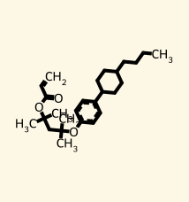 C=CC(=O)OC(C)(C)CC(C)(C)Oc1ccc(C2CCC(CCCC)CC2)cc1